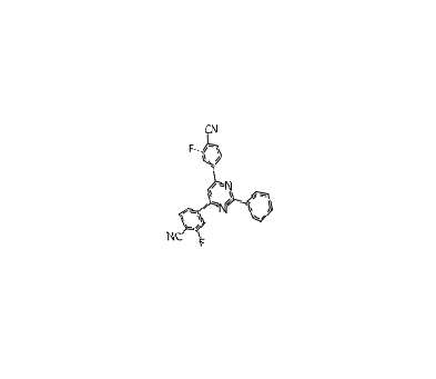 N#Cc1ccc(-c2cc(-c3ccc(C#N)c(F)c3)nc(-c3ccccc3)n2)cc1F